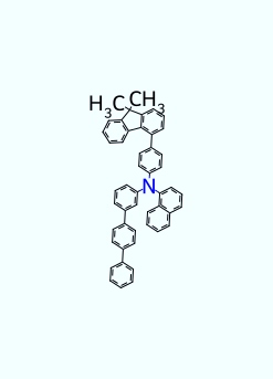 CC1(C)c2ccccc2-c2c(-c3ccc(N(c4cccc(-c5ccc(-c6ccccc6)cc5)c4)c4cccc5ccccc45)cc3)cccc21